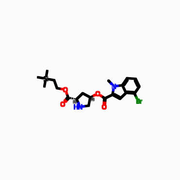 Cn1c(C(=O)O[C@H]2CN[C@H](C(=O)OCC[Si](C)(C)C)C2)cc2c(Br)cccc21